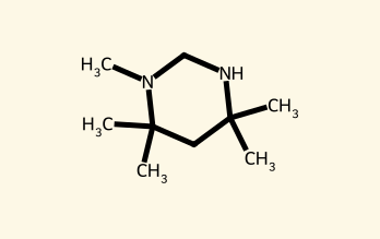 CN1CNC(C)(C)CC1(C)C